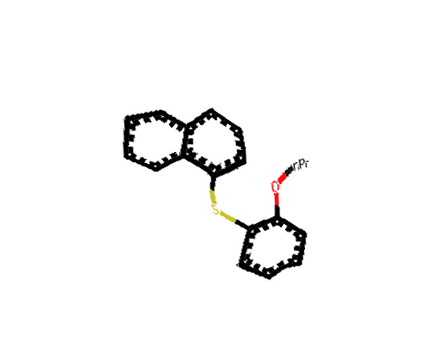 CCCOc1ccc[c]c1Sc1cccc2ccccc12